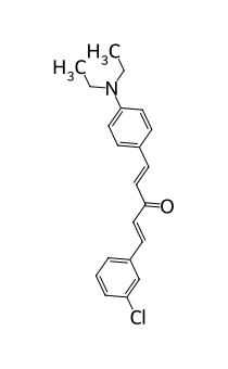 CCN(CC)c1ccc(C=CC(=O)C=Cc2cccc(Cl)c2)cc1